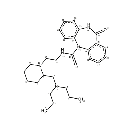 CCCN(CCC)CC1CCCCN1CCNC(=O)N1c2ccccc2C(=O)Nc2ncccc21